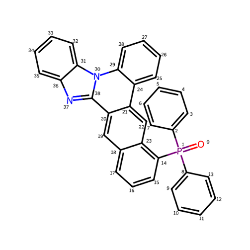 O=P(c1ccccc1)(c1ccccc1)c1cccc2cc3c(cc12)c1ccccc1n1c2ccccc2nc31